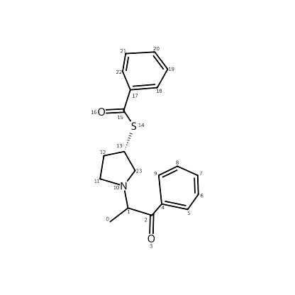 CC(C(=O)c1ccccc1)N1CC[C@H](SC(=O)c2ccccc2)C1